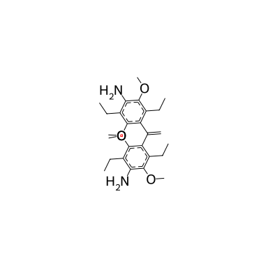 C=C(c1c(CC)c(OC)c(N)c(CC)c1OC)c1c(CC)c(OC)c(N)c(CC)c1OC